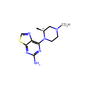 C[C@H]1CN(C(=O)O)CCN1c1nc(N)nc2scnc12